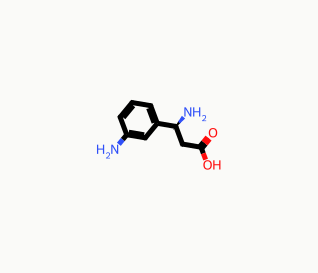 Nc1cccc([C@@H](N)CC(=O)O)c1